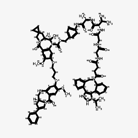 COc1cc2c(cc1OCCCOc1cc3c(cc1OC)C(=O)N1CC4(CC4)C[C@H]1C(O)N3C(=O)OCc1ccc(NC(=O)[C@H](C)NC(=O)[C@@H](NC(=O)CNC(=O)CNC(=O)CCC(=O)N3Cc4ccccc4C4=C(c5ccccc53)N(C(C)C)NN4)C(C)C)cc1)NC[C@@H]1CC(c3ccccc3)=CN1C2=O